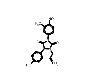 C=CCN1C(=O)N(c2ccc([N+](=O)[O-])c(C(F)(F)F)c2)C(=O)C1c1ccc(O)cc1